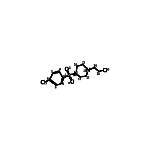 O=S(=O)(c1ccc(Cl)cc1)N1CCN(CCCl)CC1